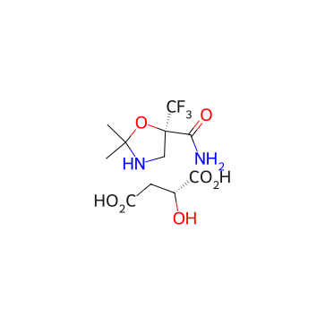 CC1(C)NC[C@@](C(N)=O)(C(F)(F)F)O1.O=C(O)C[C@@H](O)C(=O)O